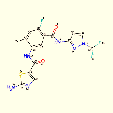 Cc1cc(F)c(C(=O)Nc2ccn(C(F)F)n2)cc1NC(=O)c1cnc(N)s1